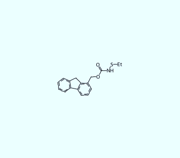 CCSNC(=O)OCc1cccc2c1Cc1ccccc1-2